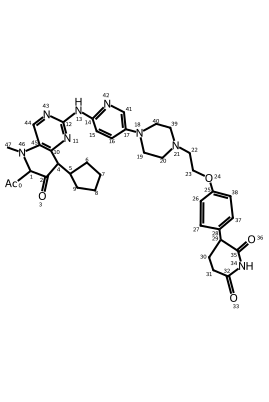 CC(=O)C1C(=O)C(C2CCCC2)c2nc(Nc3ccc(N4CCN(CCOc5ccc(C6CCC(=O)NC6=O)cc5)CC4)cn3)ncc2N1C